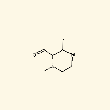 CC1NCCN(C)C1C=O